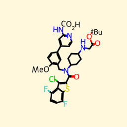 COc1ccc(-c2ccnc(NC(=O)O)c2)cc1CN(C(=O)c1sc2c(F)ccc(F)c2c1Cl)C1CCC(NCC(=O)OC(C)(C)C)CC1